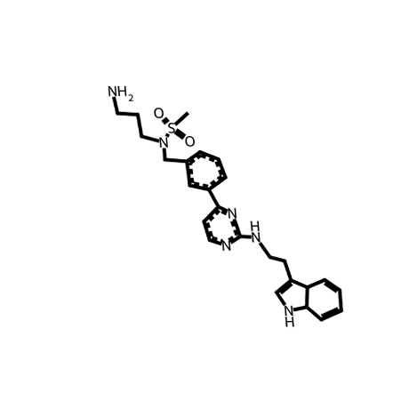 CS(=O)(=O)N(CCCN)Cc1cccc(-c2ccnc(NCCC3=CNC4C=CC=CC34)n2)c1